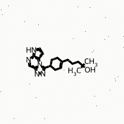 CC(C)(O)CCCC1=CCC(c2nnc3cnc4[nH]ccc4n23)CC1